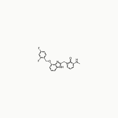 CNc1cccn(Cc2nc3c(OCc4ccc(F)cc4F)cccc3[nH]2)c1=O